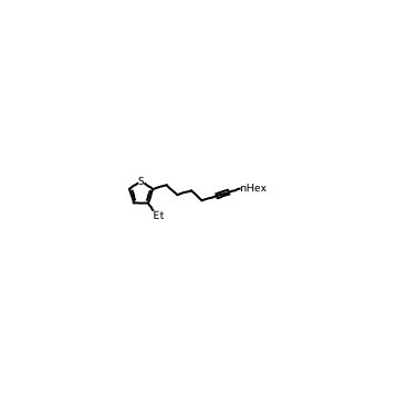 CCCCCCC#CCCCCc1sccc1CC